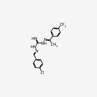 C/C(=N\NC(=N)N/N=C/c1ccc(Cl)cc1)c1ccc(C(F)(F)F)cc1